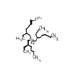 CCCCC(CC)C[SiH](CC(CC)CCCC)CC(CC)CCCC